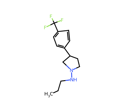 CCCNN1CCC(c2ccc(C(F)(F)F)cc2)C1